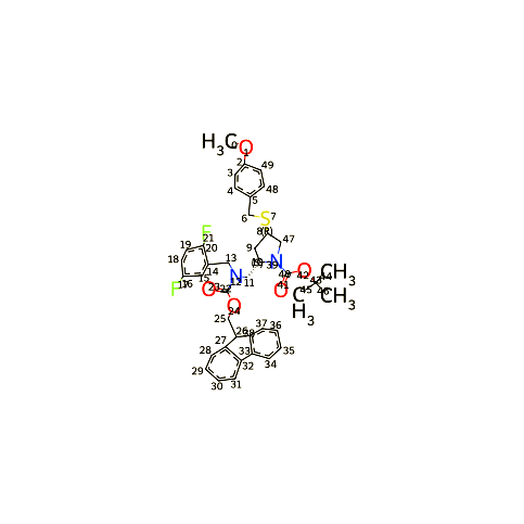 COc1ccc(CS[C@@H]2C[C@@H](CN(Cc3cc(F)ccc3F)C(=O)OCC3c4ccccc4-c4ccccc43)N(C(=O)OC(C)(C)C)C2)cc1